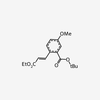 CCOC(=O)/C=C/c1ccc(OC)cc1C(=O)OC(C)(C)C